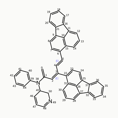 C=C(/C=C(\C=C\c1ccc2c3c(cccc13)-c1ccccc1-2)c1ccc2c3c(cccc13)-c1ccccc1-2)N(c1ccccc1)C1C=CC=NC1